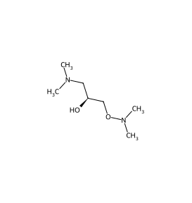 CN(C)C[C@H](O)CON(C)C